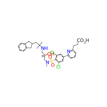 CN(C[C@H](O)CNC(C)(C)CC1Cc2ccccc2C1)S(=O)(=O)c1c(Cl)cc(-c2cccc(CCC(=O)O)n2)cc1Cl